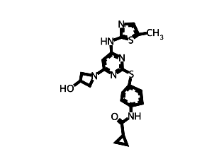 Cc1cnc(Nc2cc(N3CC(O)C3)nc(Sc3ccc(NC(=O)C4CC4)cc3)n2)s1